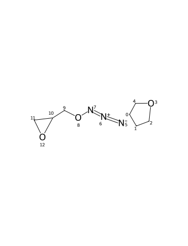 C1CCOC1.[N-]=[N+]=NOCC1CO1